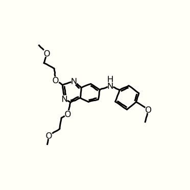 COCCOc1nc(OCCOC)c2ccc(Nc3ccc(OC)cc3)cc2n1